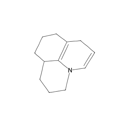 C1=CN2CCCC3CCCC(=C32)C1